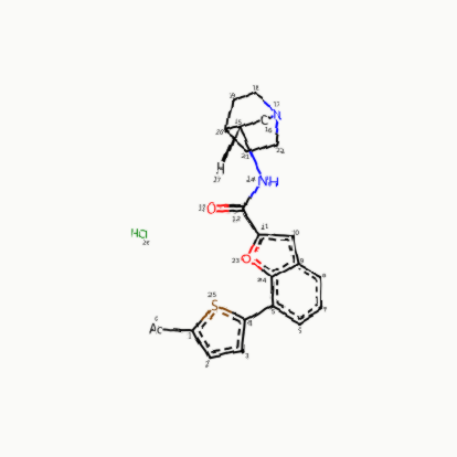 CC(=O)c1ccc(-c2cccc3cc(C(=O)N[C@H]4CN5CCC4CC5)oc23)s1.Cl